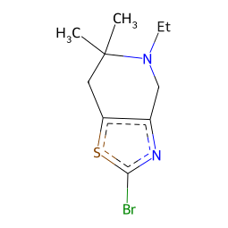 CCN1Cc2nc(Br)sc2CC1(C)C